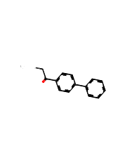 CSCC(=O)c1ccc(-c2ccccc2)cc1